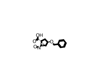 O=NN1C[C@H](OCc2ccccc2)C[C@H]1C(=O)O